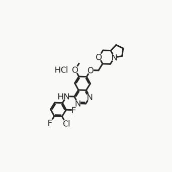 COc1cc2c(Nc3ccc(F)c(Cl)c3F)ncnc2cc1OCC1CN2CCCC2CO1.Cl